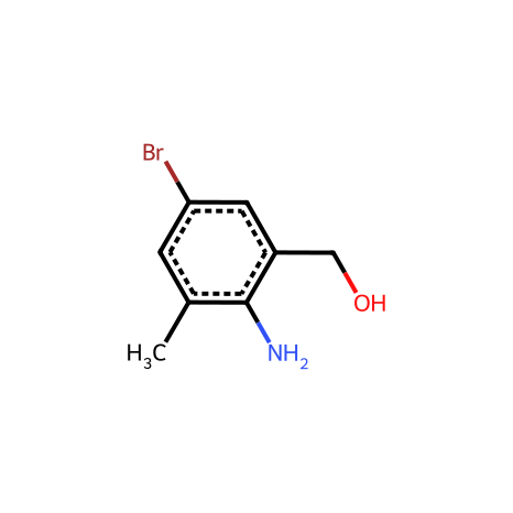 Cc1cc(Br)cc(CO)c1N